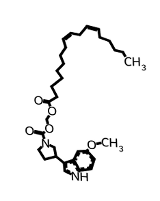 CCCCC/C=C\C/C=C\CCCCCCCC(=O)OCOC(=O)N1CCC(c2c[nH]c3ccc(OC)cc23)C1